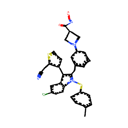 Cc1ccc(Sn2c(-c3cccc(N4CC(C(=O)N=O)C4)c3)c(-c3ccsc3C#N)c3cc(Cl)ccc32)cc1